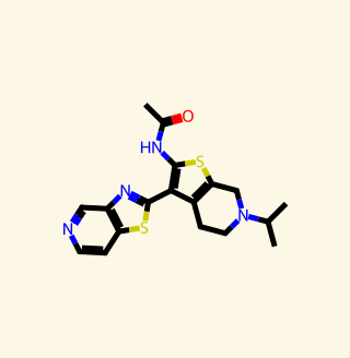 CC(=O)Nc1sc2c(c1-c1nc3cnccc3s1)CCN(C(C)C)C2